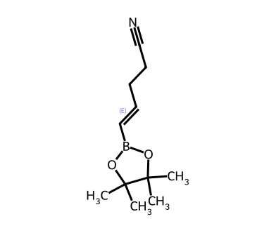 CC1(C)OB(/C=C/CCC#N)OC1(C)C